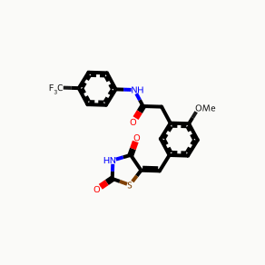 COc1ccc(C=C2SC(=O)NC2=O)cc1CC(=O)Nc1ccc(C(F)(F)F)cc1